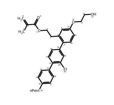 C=C(C)C(=O)OCCc1cc(OCCO)ccc1-c1ccc(-c2ccc(CCCCC)cc2)c(CC)c1